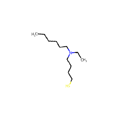 CCCCCCN(CC)CCCCS